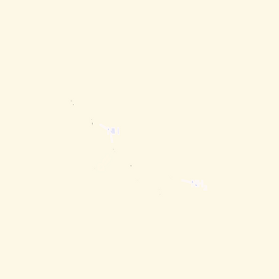 Nc1ccc(C(=O)NC2CC2)cc1